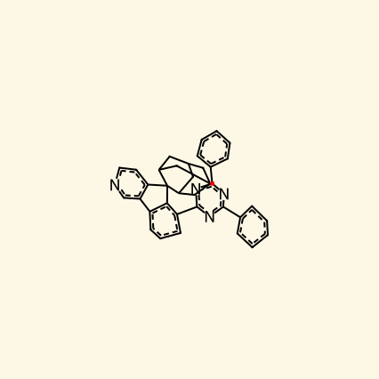 c1ccc(-c2nc(-c3ccccc3)nc(-c3cccc4c3C3(c5ccncc5-4)C4CC5CC(C4)CC3C5)n2)cc1